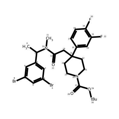 CC(c1cc(Br)cc(Br)c1)N(C)C(=O)CC1(c2ccc(F)c(F)c2)CCN(C(=O)OC(C)(C)C)CC1